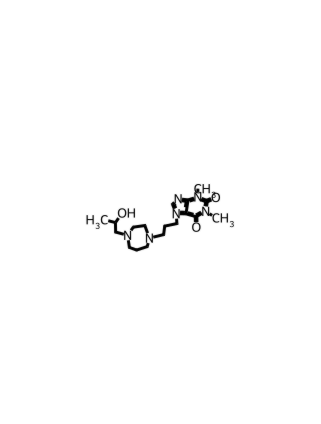 CC(O)CN1CCCN(CCCn2cnc3c2c(=O)n(C)c(=O)n3C)CC1